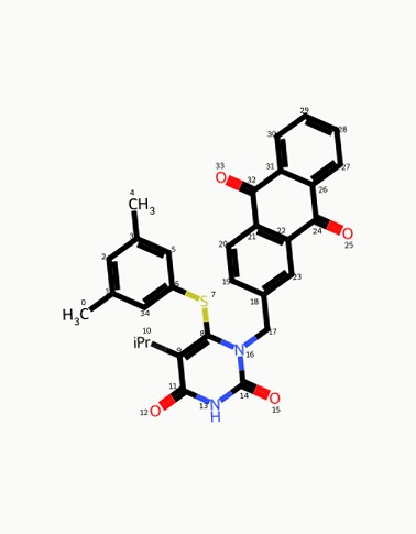 Cc1cc(C)cc(Sc2c(C(C)C)c(=O)[nH]c(=O)n2Cc2ccc3c(c2)C(=O)c2ccccc2C3=O)c1